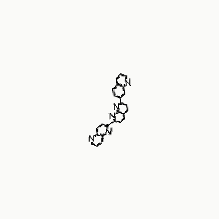 c1cnc2cc(-c3ccc4ccc(-c5ccc6ncccc6n5)nc4n3)ccc2c1